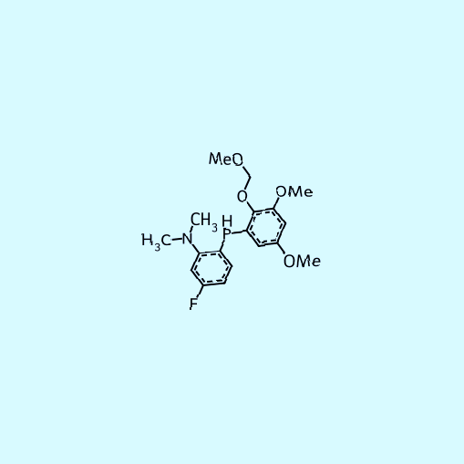 COCOc1c(OC)cc(OC)cc1Pc1ccc(F)cc1N(C)C